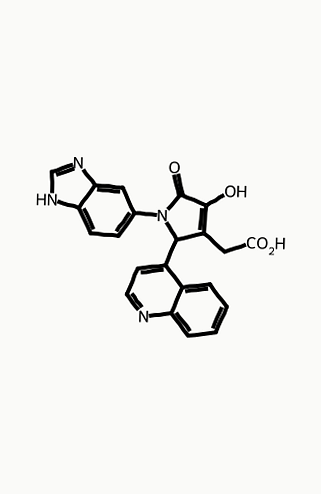 O=C(O)CC1=C(O)C(=O)N(c2ccc3[nH]cnc3c2)C1c1ccnc2ccccc12